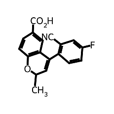 CC1C=C(c2ccc(F)cc2C#N)c2cc(C(=O)O)ccc2O1